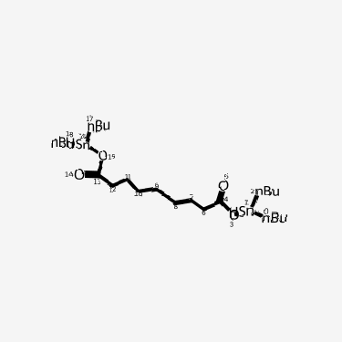 CCC[CH2][SnH]([CH2]CCC)[O]C(=O)CCCCCCCC(=O)[O][SnH]([CH2]CCC)[CH2]CCC